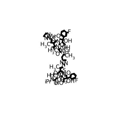 COc1ccc(F)cc1[C@@](O)(CCO)Cn1c(=O)n(C(C)(C)C(=O)NC(C)Cc2cnn(-c3sc4c(c3C)c(=O)n(C(C)(C)C(=O)NC(C)C)c(=O)n4C[C@@](O)(CCO)c3cc(F)ccc3OC)n2)c(=O)c2c(C)c(-n3nccn3)sc21